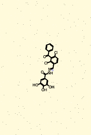 O=C(N/N=C/c1ccc(Cl)c(C(=O)c2ccccc2)c1Cl)c1cc(O)c(O)c(O)c1